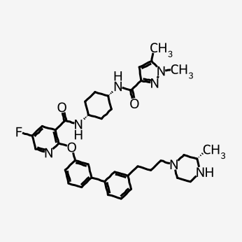 Cc1cc(C(=O)N[C@H]2CC[C@@H](NC(=O)c3cc(F)cnc3Oc3cccc(-c4cccc(CCCN5CCN[C@@H](C)C5)c4)c3)CC2)nn1C